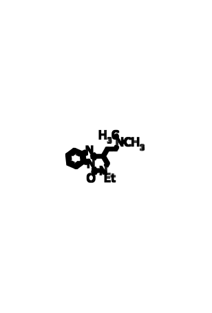 CCN1CC(CCN(C)C)c2nc3ccccc3n2C1=O